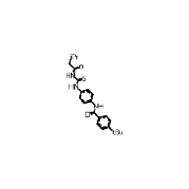 CC(C)CC(=O)NC(=S)Nc1ccc(NC(=O)c2ccc(C(C)(C)C)cc2)cc1